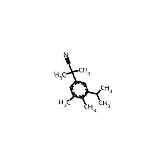 Cc1cc(C(C)(C)C#N)cc(C(C)C)c1C